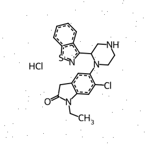 CCN1C(=O)Cc2cc(N3CCNCC3c3nsc4ccccc34)c(Cl)cc21.Cl